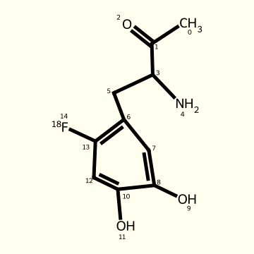 CC(=O)C(N)Cc1cc(O)c(O)cc1[18F]